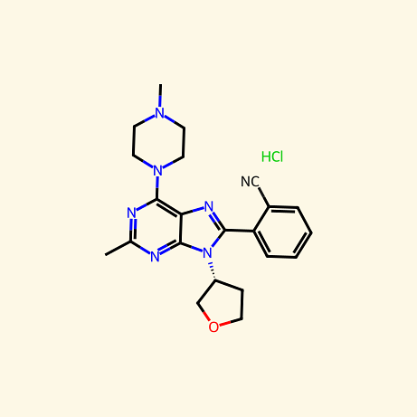 Cc1nc(N2CCN(C)CC2)c2nc(-c3ccccc3C#N)n([C@@H]3CCOC3)c2n1.Cl